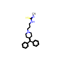 N#CN=C(S)NCCCN1CCC(=C(c2ccccc2)c2ccccc2)CC1